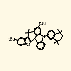 CC(C)(C)c1cc2c3c(c1)C(C)(C)c1c(oc4ccc(C(C)(C)C)cc14)B3c1ccccc1N2c1ccc2c(c1)C(C)(C)CCC2(C)C